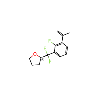 C=C(C)c1cccc(C(F)(F)[C@H]2CCCO2)c1F